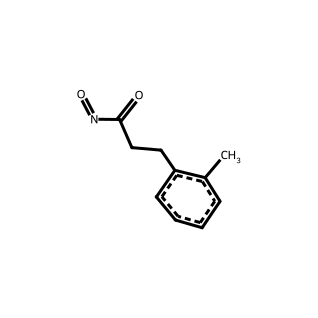 Cc1ccccc1CCC(=O)N=O